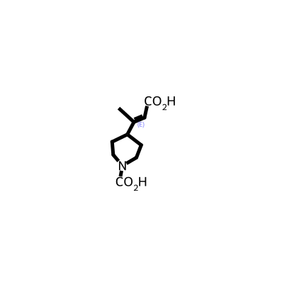 C/C(=C\C(=O)O)C1CCN(C(=O)O)CC1